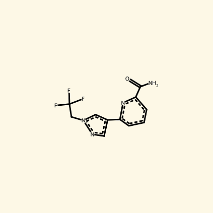 NC(=O)c1cccc(-c2cnn(CC(F)(F)F)c2)n1